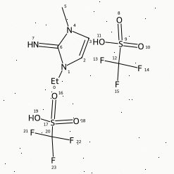 CCn1ccn(C)c1=N.O=S(=O)(O)C(F)(F)F.O=S(=O)(O)C(F)(F)F